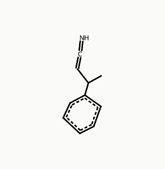 CC(C=C=N)c1ccccc1